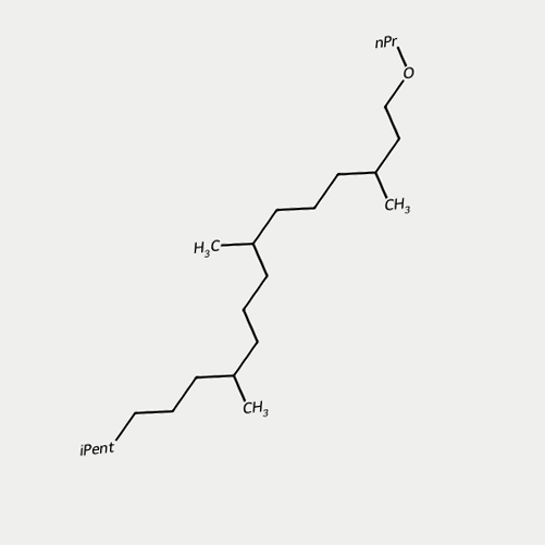 CCCOCCC(C)CCCC(C)CCCC(C)CCCC(C)CCC